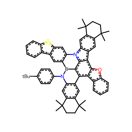 CC(C)(C)c1ccc(N2B3c4cc5c(cc4-n4c6cc7c(cc6c6c8oc9ccccc9c8c(c3c64)-c3cc4c(cc32)C(C)(C)CCC4(C)C)C(C)(C)CCC7(C)C)sc2ccccc25)cc1